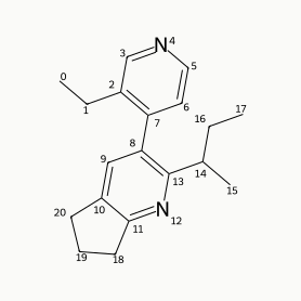 CCc1cnccc1-c1cc2c(nc1C(C)CC)CCC2